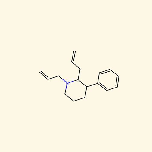 C=CCC1C(c2ccccc2)CCCN1CC=C